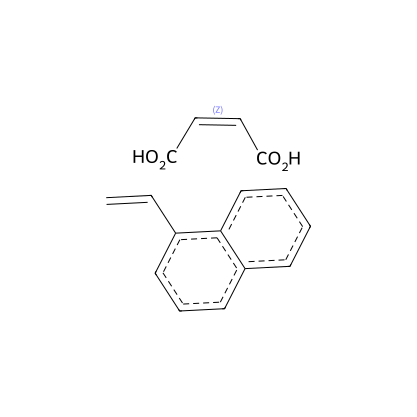 C=Cc1cccc2ccccc12.O=C(O)/C=C\C(=O)O